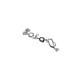 CC(C)C1CN(c2ccc(NC(=O)[C@H]3CC[C@H](NS(=O)(=O)C(C)(C)C)CC3)cc2)CCO1